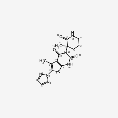 Cc1c(-n2nccn2)sc2[nH]c(=O)n(C3(C)CCCNC3=O)c(=O)c12